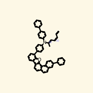 C=C/C=C\C=C(/C)N(c1ccc(-c2ccccc2)cc1)c1ccc(-c2cccc3c2oc2c3ccc3ccc4cc(-c5ccccc5)ccc4c32)cc1